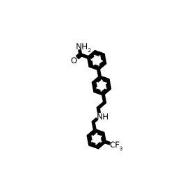 NC(=O)c1cccc(-c2ccc(CCNCc3cccc(C(F)(F)F)c3)cc2)c1